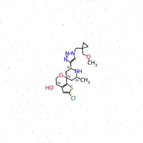 COCC1(Cn2cc([C@@H]3C[C@]4(C[C@H](C)N3)OC[C@@H](O)c3cc(Cl)sc34)nn2)CC1